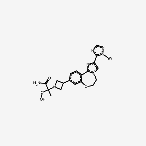 CC(C)n1ncnc1-c1cn2c(n1)-c1ccc(C3CN(C(C)(OO)C(N)=O)C3)cc1OCC2